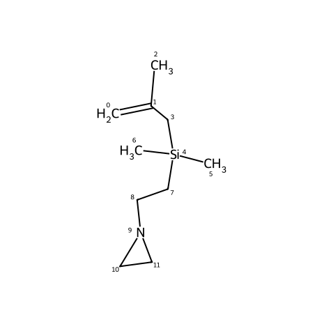 C=C(C)C[Si](C)(C)CCN1CC1